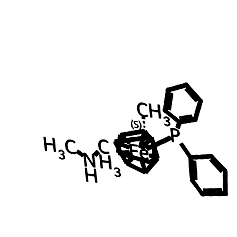 CNC.C[C@]12[CH]3[CH]4[CH]5[C]1(P(c1ccccc1)c1ccccc1)[Fe]45321678[CH]2[CH]1[CH]6[CH]7[CH]28